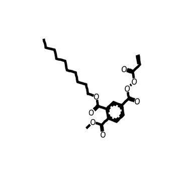 C=CC(=O)OOC(=O)c1ccc(C(=O)OC)c(C(=O)OCCCCCCCCCC)c1